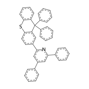 c1ccc(-c2cc(-c3ccccc3)nc(-c3ccc4c(c3)C(c3ccccc3)(c3ccccc3)c3ccccc3S4)c2)cc1